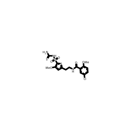 COc1ccc(Cl)cc1C(=O)NCCc1cc(OC)c(S(=O)(=O)NC(N)=S)s1